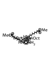 CCCCCCCCC(O)C(CCCCCCCC(=O)OC)NC(=O)COC(CCCCCCCC)C(CCCCCCCC(=O)OC)Nc1ccc(N)cc1